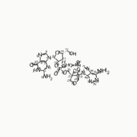 Nc1nc2c(ncn2[C@@H]2O[C@H](CO)CC2OP(=O)(O)OC[C@]23COC(C2O[PH](=O)O)[C@H](n2cnc4c(N)ncnc42)O3)c(=O)[nH]1